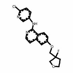 FC1(COc2ccc3c(Nc4ccc(Cl)nc4)nccc3c2)CCOC1